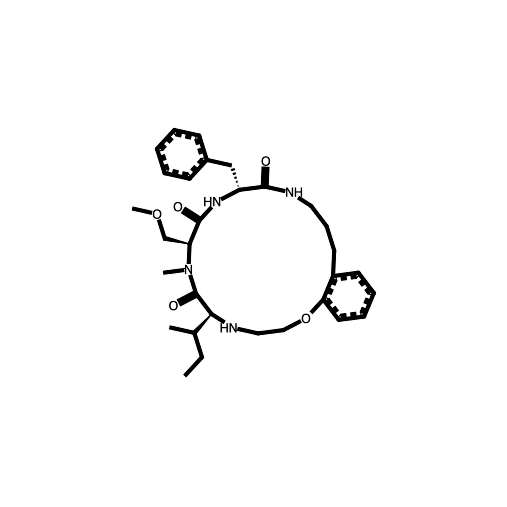 CCC(C)[C@@H]1NCCOc2ccccc2CCCNC(=O)[C@@H](Cc2ccccc2)NC(=O)[C@H](COC)N(C)C1=O